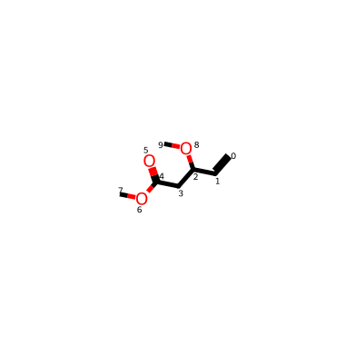 C=CC(CC(=O)OC)OC